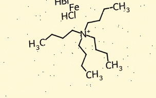 Br.CCCC[N+](CCCC)(CCCC)CCCC.Cl.[Fe]